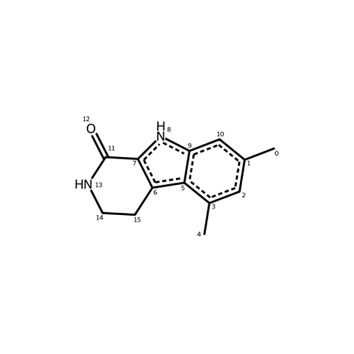 Cc1cc(C)c2c3c([nH]c2c1)C(=O)NCC3